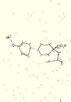 CCCOC1=CCC([C@H]2CC[C@](CC(F)F)(C(=O)O)CC2)C=C1